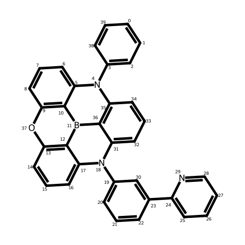 c1ccc(N2c3cccc4c3B3c5c(cccc5N(c5cccc(-c6ccccn6)c5)c5cccc2c53)O4)cc1